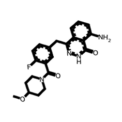 COC1CCN(C(=O)c2cc(Cc3n[nH]c(=O)c4c(N)cccc34)ccc2F)CC1